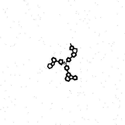 Cc1ccc2c(c1)CCc1ccc(-c3ccc(N(c4ccc(-c5cc6c7c(cccc7c5)-c5ccccc5-6)cc4)c4ccc(-c5cccc6c5CC5=C6CCCC5)cc4)cc3)cc1-2